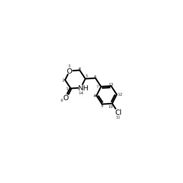 O=C1COCC(Cc2ccc(Cl)cc2)N1